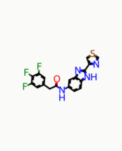 O=C(Cc1cc(F)c(F)c(F)c1)Nc1ccc2[nH]c(-c3cscn3)nc2c1